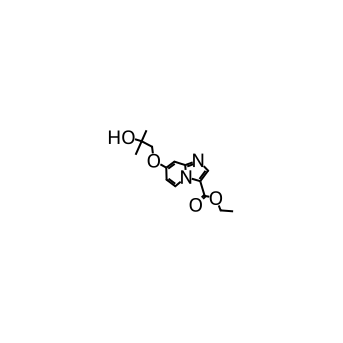 CCOC(=O)c1cnc2cc(OCC(C)(C)O)ccn12